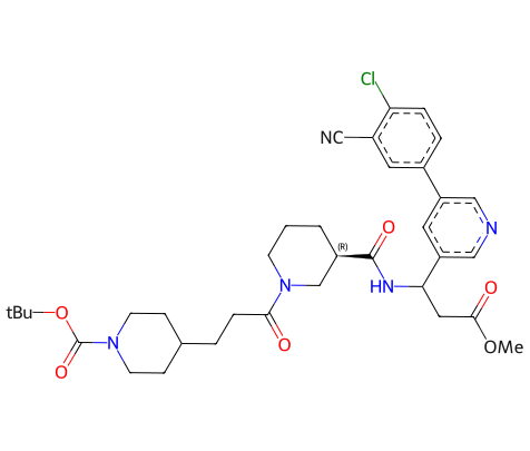 COC(=O)CC(NC(=O)[C@@H]1CCCN(C(=O)CCC2CCN(C(=O)OC(C)(C)C)CC2)C1)c1cncc(-c2ccc(Cl)c(C#N)c2)c1